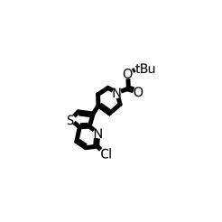 CC(C)(C)OC(=O)N1CC=C(c2csc3ccc(Cl)nc23)CC1